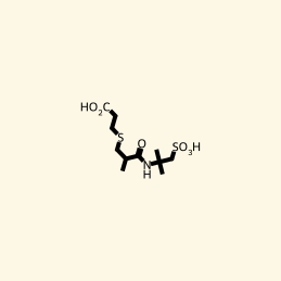 CC(CSCCC(=O)O)C(=O)NC(C)(C)CS(=O)(=O)O